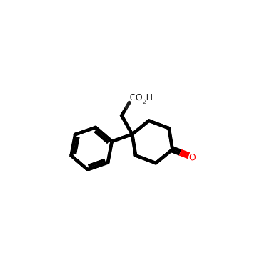 O=C(O)CC1(c2ccccc2)CCC(=O)CC1